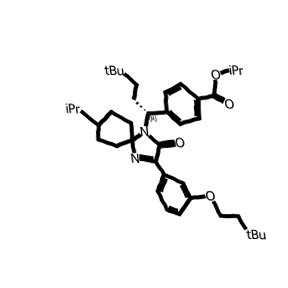 CC(C)OC(=O)c1ccc([C@@H](CCC(C)(C)C)N2C(=O)C(c3cccc(OCCC(C)(C)C)c3)=NC23CCC(C(C)C)CC3)cc1